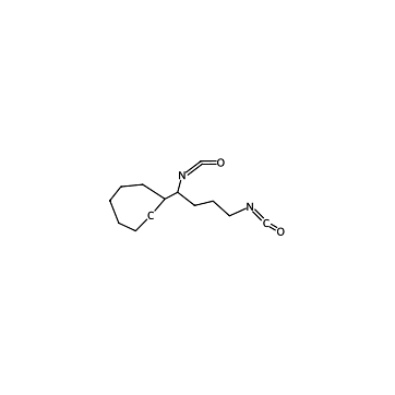 O=C=NCCCC(N=C=O)C1CCCCCC1